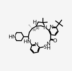 C[C@H]1CC(C2CCNCC2)Nc2cccc(n2)SNC(=O)c2ccc(C(C)(C)C)nc2N2C[C@@H]1CC2(C)C